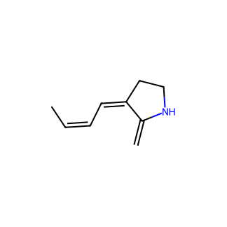 C=C1NCC/C1=C/C=C\C